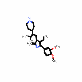 C=c1[nH]c(-c2ccc(OC)c(OC)c2)c(CC)/c1=C/C(=C(C)C)C1CCNCC1